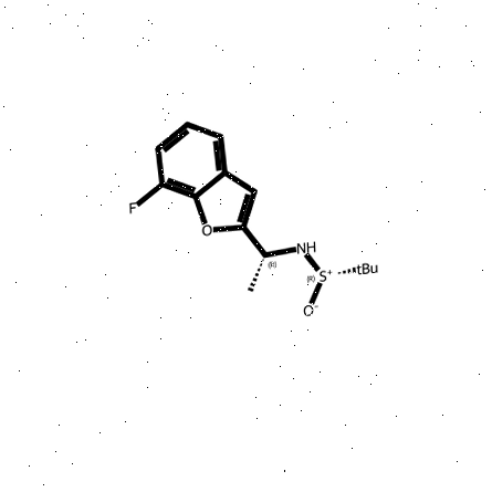 C[C@@H](N[S@@+]([O-])C(C)(C)C)c1cc2cccc(F)c2o1